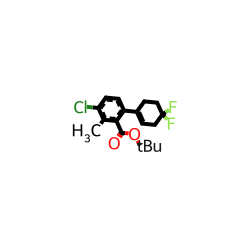 Cc1c(Cl)ccc(C2=CCC(F)(F)CC2)c1C(=O)OC(C)(C)C